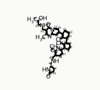 COc1nc(-c2cccc(-c3cccc(-c4ccn5c(=O)c(CNC[C@@H](C)O)c(C)nc5c4)c3Cl)c2Cl)ccc1CNC[C@H]1CCC(=O)N1